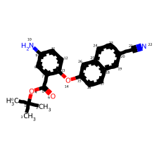 CC(C)(C)OC(=O)c1cc(N)ccc1Oc1ccc2cc(C#N)ccc2c1